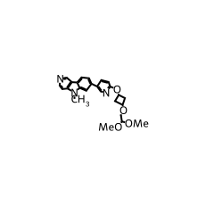 COC(CO[C@H]1C[C@H](Oc2ccc(-c3ccc4c5cnccc5n(C)c4c3)cn2)C1)OC